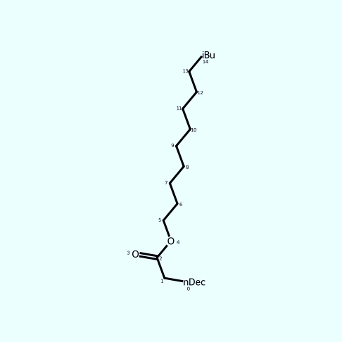 CCCCCCCCCCCC(=O)OCCCCCCCCCC(C)CC